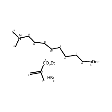 Br.C=C(C)C(=O)OCC.CCCCCCCCCCCCCCCCCCN(C)C